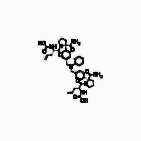 C=CC[C@H](NC(=O)O)C(=O)N1CCC[C@@]1(C(N)=O)c1ccc(CN(Cc2ccc([C@]3(C(N)=O)CCCN3C(=O)[C@H](CC=C)NC(=O)O)cc2)c2ccccc2)cc1